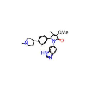 COC1=C(C)C(c2ccc(C3CCN(C)CC3)cc2)N(c2ccc3nc[nH]c3c2)C1=O